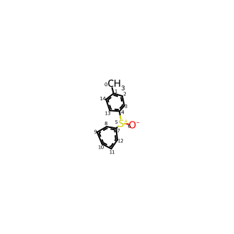 Cc1ccc([S+]([O-])c2ccccc2)cc1